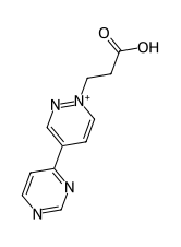 O=C(O)CC[n+]1ccc(-c2ccncn2)cn1